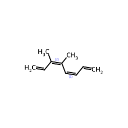 C=C/C=C\C(C)=C(\C)C=C